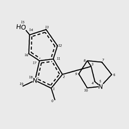 Cc1c(C2CN3CCC2CC3)c2ccc(O)cc2n1C